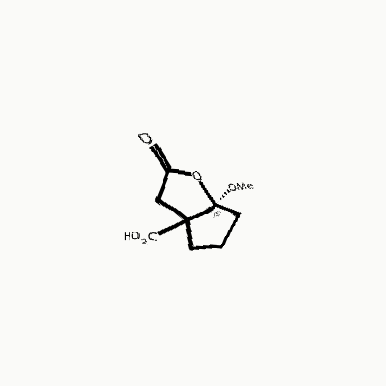 CO[C@]12CCCC1(C(=O)O)CC(=O)O2